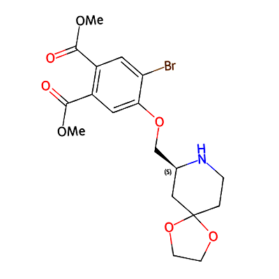 COC(=O)c1cc(Br)c(OC[C@@H]2CC3(CCN2)OCCO3)cc1C(=O)OC